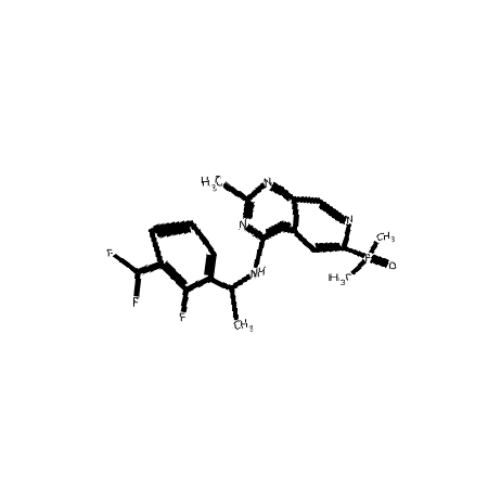 Cc1nc(NC(C)c2cccc(C(F)F)c2F)c2cc(P(C)(C)=O)ncc2n1